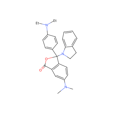 CCN(CC)c1ccc(C2(N3CCc4ccccc43)OC(=O)c3cc(N(C)C)ccc32)cc1